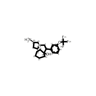 N[C@@H]1CCN(CC(c2cccc(OC(F)(F)F)c2)C2(O)CCCCC2)C1